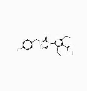 CCc1sc(-n2cnn(Cc3ccc(F)cc3)c2=O)c(CC)c1C(=O)O